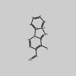 Cc1c(C=O)ccn2c1nc1ccccc12